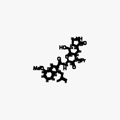 C=C(C)Cn1c(C(=O)NCC(=O)N(C(C)C)C(CC2CCNC2=O)C(=O)CO)cc2c(OC)cccc21